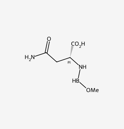 COBN[C@H](CC(N)=O)C(=O)O